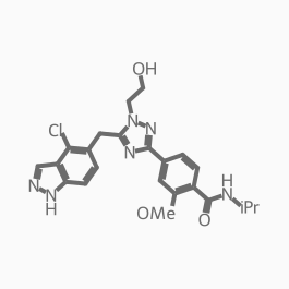 COc1cc(-c2nc(Cc3ccc4[nH]ncc4c3Cl)n(CCO)n2)ccc1C(=O)NC(C)C